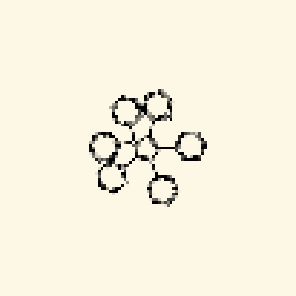 c1ccc(C2=C(c3ccccn3)[Si](c3ccccc3)(c3ccccc3)C(c3ccccn3)=C2c2ccccc2)cc1